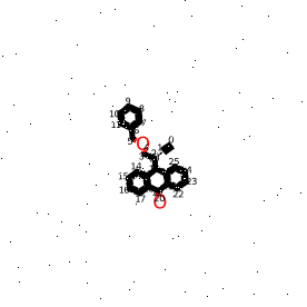 C#C[C@@H](COCc1ccccc1)C1c2ccccc2C(=O)c2ccccc21